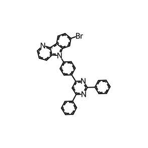 Brc1ccc2c3ncccc3n(-c3ccc(-c4cc(-c5ccccc5)nc(-c5ccccc5)n4)cc3)c2c1